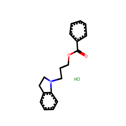 Cl.O=C(OCCCN1CCc2ccccc21)c1ccccc1